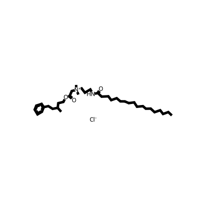 CCCCCCCCCCCCCCCCCC(=O)NCCC[N+](C)(C)CC(=O)OCCC(C)CCc1ccccc1.[Cl-]